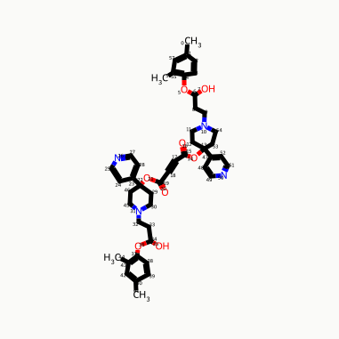 Cc1ccc(OC(O)CCN2CCC(OC(=O)C#CC(=O)OC3(c4ccncc4)CCN(CCC(O)Oc4ccc(C)cc4C)CC3)(c3ccncc3)CC2)c(C)c1